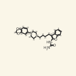 NC(=O)Nc1oc2ccccc2c1CCCCN1CCN(c2ccc3c(c2)OCO3)CC1